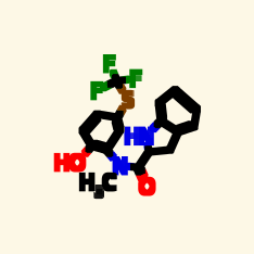 CN(C(=O)C1Cc2ccccc2N1)c1cc(SC(F)(F)F)ccc1O